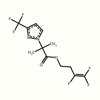 CC(C)(C(=O)OCCC(F)=C(F)F)n1ccc(C(F)(F)F)n1